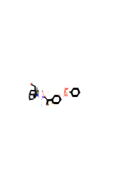 O=CC[C@H]1CC2CC(C2)[C@H]1NC(=O)c1csc2ccc(OS(=O)(=O)c3ccccc3)cc12